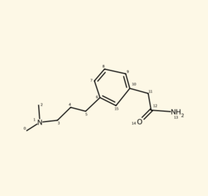 CN(C)CCCc1cccc(CC(N)=O)c1